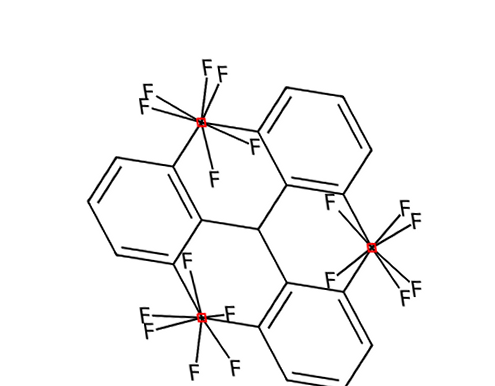 FC(F)(F)c1cccc(C(F)(F)F)c1C(c1c(C(F)(F)F)cccc1C(F)(F)F)c1c(C(F)(F)F)cccc1C(F)(F)F